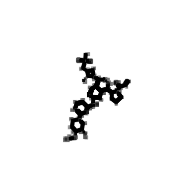 C=CC(=O)N1CCCC1c1nnc(N2C[C@H](CS(C)(=O)=O)[C@H]2C)c2cnc(Nc3ccnc(N4CC[C@@H](OC(C)C)[C@@H](F)C4)n3)cc12